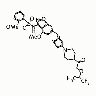 COc1ccccc1S(=O)(=O)Nc1noc2cc(Cn3cc(N4CCC(C(=O)COC(C)C(F)(F)F)CC4)cn3)cc(OC)c12